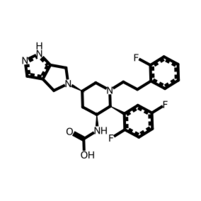 O=C(O)N[C@H]1C[C@@H](N2Cc3cn[nH]c3C2)CN(CCc2ccccc2F)[C@H]1c1cc(F)ccc1F